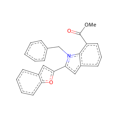 COC(=O)c1cccc2cc(-c3cc4ccccc4o3)n(Cc3ccccc3)c12